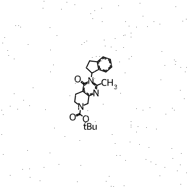 Cc1nc2c(c(=O)n1C1CCc3ccccc31)CCN(C(=O)OC(C)(C)C)C2